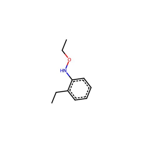 CCONc1ccccc1CC